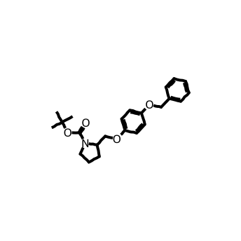 CC(C)(C)OC(=O)N1CCCC1COc1ccc(OCc2ccccc2)cc1